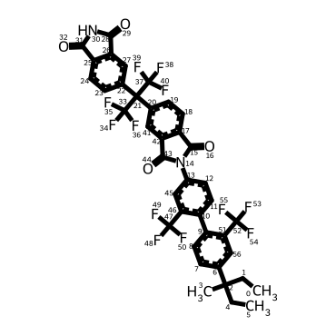 CCC(C)(CC)c1ccc(-c2ccc(N3C(=O)c4ccc(C(c5ccc6c(c5)C(=O)NC6=O)(C(F)(F)F)C(F)(F)F)cc4C3=O)cc2C(F)(F)F)c(C(F)(F)F)c1